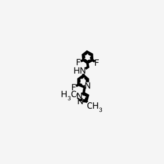 Cc1cc(-c2ncc(NCc3c(F)cccc3F)cc2F)n(C)n1